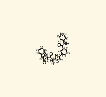 CC1(C(=O)Nc2nc(-c3cccc(C(=O)Nc4ccncc4)c3)cs2)CC2C(=O)CC1c1ccccc12